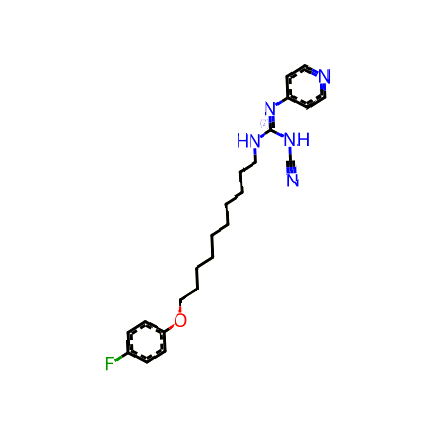 N#CN/C(=N\c1ccncc1)NCCCCCCCCCCOc1ccc(F)cc1